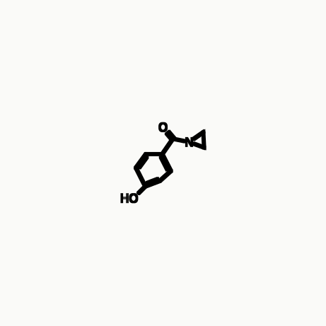 O=C(c1ccc(O)cc1)N1CC1